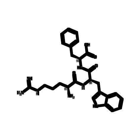 N=C(N)NCCC[C@H](N)C(=O)N[C@H](Cc1c[nH]c2ccccc12)C(=O)N[C@@H](Cc1ccccc1)C(=O)O